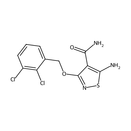 NC(=O)c1c(OCc2cccc(Cl)c2Cl)nsc1N